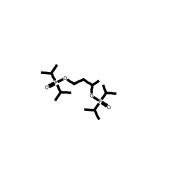 CC(CCOP(=O)(C(C)C)C(C)C)OP(=O)(C(C)C)C(C)C